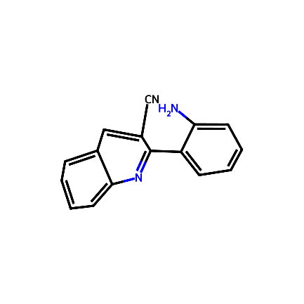 N#Cc1cc2ccccc2nc1-c1ccccc1N